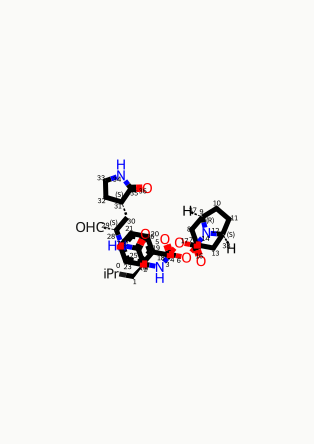 CC(C)C[C@H](NC(=O)OC1C[C@H]2CC[C@@H](C1)N2C(=O)OCc1ccccc1)C(=O)N[C@H](C=O)C[C@@H]1CCNC1=O